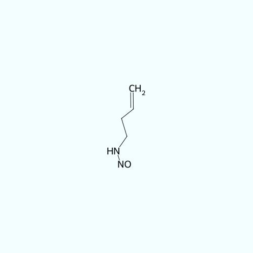 C=CCCNN=O